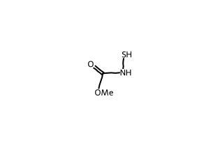 COC(=O)NS